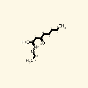 CCCCCC(=O)CC(C)=NOCC